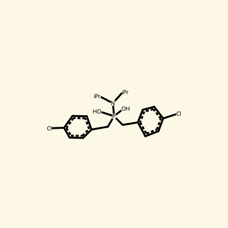 CC(C)N(C(C)C)P(O)(O)(Cc1ccc(Cl)cc1)Cc1ccc(Cl)cc1